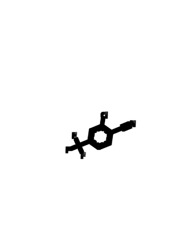 N#Cc1ccc(C(F)(F)F)cc1Cl